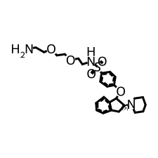 NCCOCCOCCNS(=O)(=O)c1ccc(OC2c3ccccc3C[C@@H]2N2CCCCC2)cc1